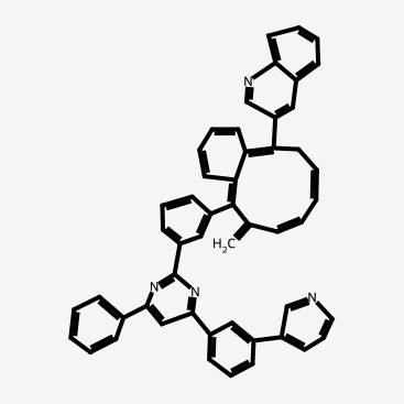 C=C1/C=C\C=C/C/C(c2cnc3ccccc3c2)=c2/cccc/c2=C/1c1cccc(-c2nc(-c3ccccc3)cc(-c3cccc(-c4cccnc4)c3)n2)c1